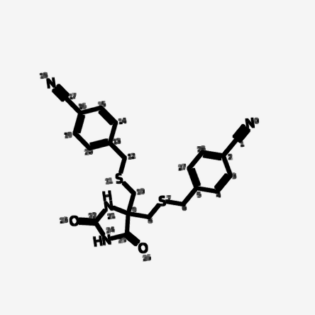 N#Cc1ccc(CSCC2(CSCc3ccc(C#N)cc3)NC(=O)NC2=O)cc1